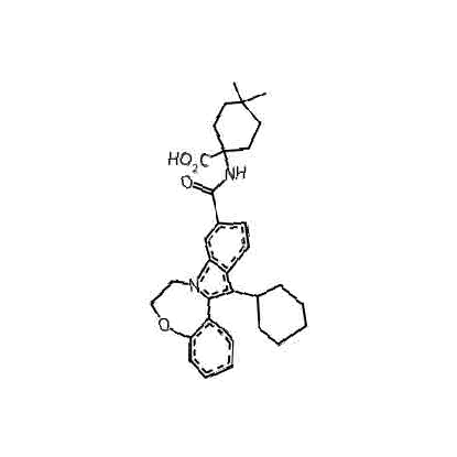 CC1(C)CCC(NC(=O)c2ccc3c(C4CCCCC4)c4n(c3c2)CCOc2ccccc2-4)(C(=O)O)CC1